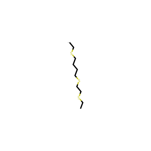 [CH2]CSCCCCSCCSCC